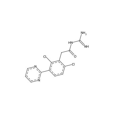 N=C(N)NC(=O)Cc1c(Cl)ccc(-c2ncccn2)c1Cl